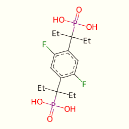 CCC(CC)(c1cc(F)c(C(CC)(CC)P(=O)(O)O)cc1F)P(=O)(O)O